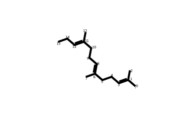 [CH2]C(C)=CCCC(C)=CCCC(C)=CCC